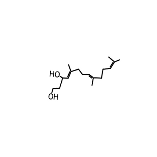 CC(C)=CCCC(C)=CCCC(C)=CC(O)CCO